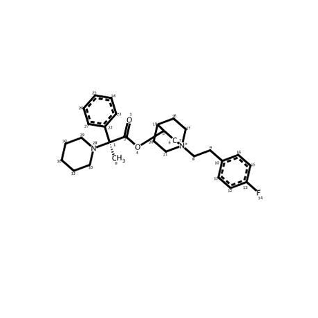 C[C@@](C(=O)OC1C[N+]2(CCc3ccc(F)cc3)CCC1CC2)(c1ccccc1)N1CCCCC1